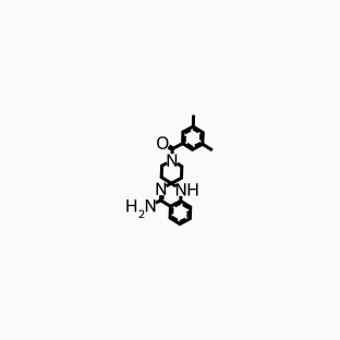 Cc1cc(C)cc(C(=O)N2CCC3(CC2)N=C(N)c2ccccc2N3)c1